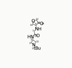 CC(C)(C)N1CC(NC(=O)CNC2COCC2=O)C1